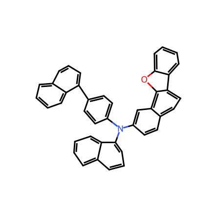 c1ccc2c(-c3ccc(N(c4ccc5ccc6c7ccccc7oc6c5c4)c4cccc5ccccc45)cc3)cccc2c1